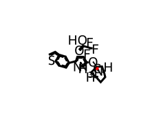 CN1[C@@H]2CC[C@H]1C[C@@H](Oc1ccc(-c3ccc4sccc4c3)nn1)C2.O=C(O)C(F)(F)F